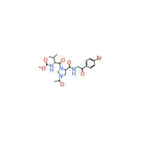 COC(=O)NC(C(=O)N1CN(C(C)=O)CC1C(=O)NCC(=O)c1ccc(Br)cc1)C(C)C